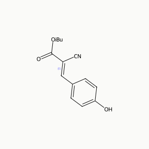 CC(C)COC(=O)/C(C#N)=C/c1ccc(O)cc1